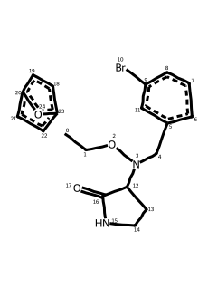 CCON(Cc1cccc(Br)c1)C1CCNC1=O.c1cc2ccc1o2